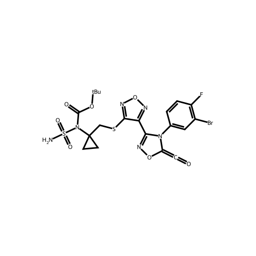 CC(C)(C)OC(=O)N(C1(CSc2nonc2C2=NOC(=C=O)N2c2ccc(F)c(Br)c2)CC1)S(N)(=O)=O